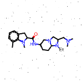 CCN1C(CN(C)C)CN2CC(NC(=O)C3Cc4cccc(C)c4N3C)CCC21